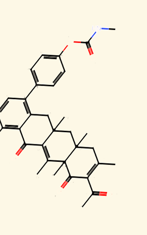 CNC(=O)Oc1ccc(-c2ccc(C)c3c2CC2(C)CC4(C)CC(C)=C(C(C)=O)C(=O)C4(C)C(C)=C2C3=O)cc1